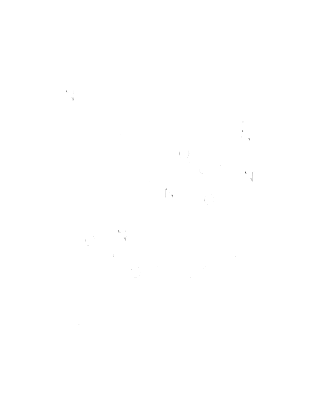 N#Cc1ccc2c(c1)CN(S(=O)(=O)c1ccccc1)C(Cc1ccccc1)CN2S(=O)(=O)c1c[nH]cn1